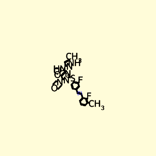 COc1c(Nc2cc(C)[nH]n2)nc(Sc2ccc(/C=C/c3cccc(C)c3F)cc2F)nc1N1CCOCC1